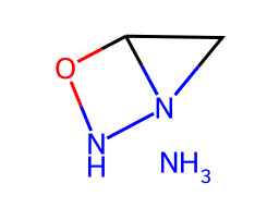 C1C2ONN12.N